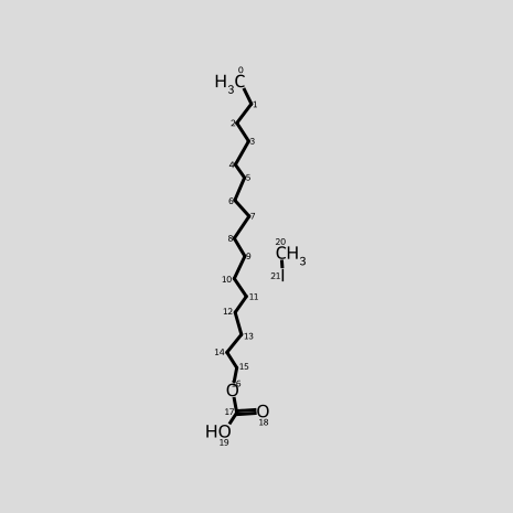 CCCCCCCCCCCCCCCCOC(=O)O.CI